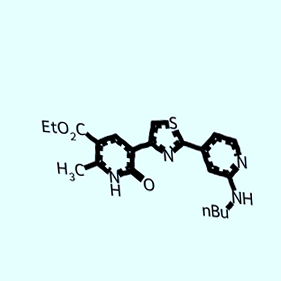 CCCCNc1cc(-c2nc(-c3cc(C(=O)OCC)c(C)[nH]c3=O)cs2)ccn1